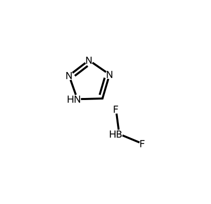 FBF.c1nnn[nH]1